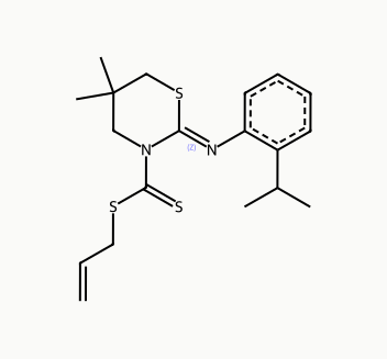 C=CCSC(=S)N1CC(C)(C)CS/C1=N\c1ccccc1C(C)C